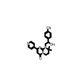 CC1(C)CCn2c(nc(-c3ccncc3)cc2=O)N1CC(O)c1ccc(C#N)cc1